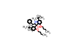 CCCCOc1ccc(C(C)(C)C)cc1C(O)(c1cc(C(C)(C)C)ccc1OCCCC)C(N)Cc1ccccc1